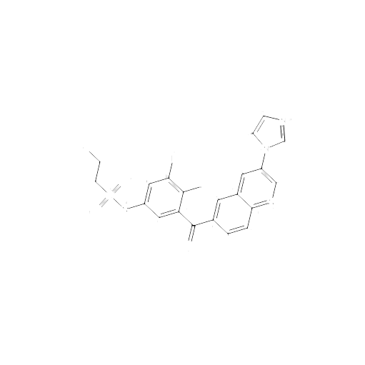 CCCS(=O)(=O)Nc1cc(F)c(F)c(C(=O)c2ccc3ncc(-n4ccnc4)cc3c2)c1